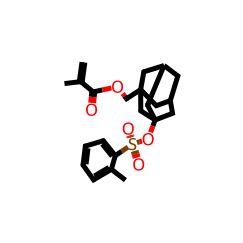 C=C(C)C(=O)OCC12CC3CC(C1)CC(OS(=O)(=O)c1ccccc1C)(C3)C2